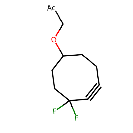 CC(=O)COC1CCC#CC(F)(F)CC1